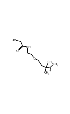 CNC(C)(C)CCOCCNC(=O)CO